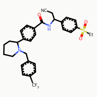 CCS(=O)(=O)c1ccc(C(CC#N)NC(=O)c2ccc(C3CCCCN3Cc3ccc(C(F)(F)F)cc3)cc2)cc1